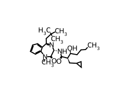 CCCC[C@H](O)[C@@H](CC1CC1)C(=O)N[C@H]1N=C(CC(C)(C)C)c2ccccc2N(C)C1=O